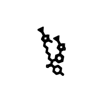 CN1CCC(C(=O)N(CCCCCc2cc(C3CC3)nn2C)c2cccc(-c3cc(C4CC4)no3)c2)CC1